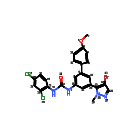 COc1ccc(-c2cc(NC(=O)Nc3ccc(Cl)cc3Cl)cc(-c3c(Br)cnn3C)c2)cc1